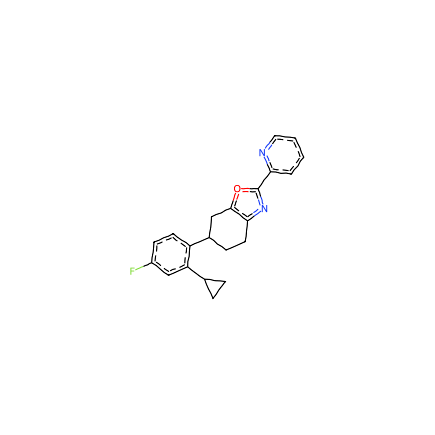 Fc1ccc(C2CCc3nc(-c4ccccn4)oc3C2)c(C2CC2)c1